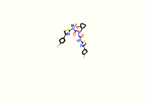 COc1ccccc1CN(CC(=O)Nc1nc(-c2ccc(F)cc2)cs1)CC(=O)Nc1nc(-c2ccc(F)cc2)cs1